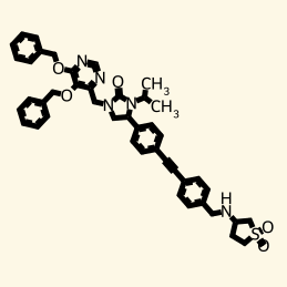 CC(C)N1C(=O)N(Cc2ncnc(OCc3ccccc3)c2OCc2ccccc2)CC1c1ccc(C#Cc2ccc(CNC3CCS(=O)(=O)C3)cc2)cc1